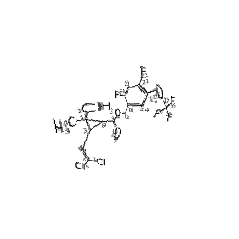 CC1(C)C(C=C(Cl)Cl)C1C(=O)OCc1cc(OC(F)(F)F)c(F)cc1F